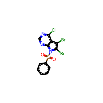 O=S(=O)(c1ccccc1)n1c(Br)c(Br)c2c(Cl)ncnc21